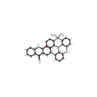 CC1(C)c2ccccc2N2c3c(cccc3-c3ccc4oc5ccccc5c(=O)c4c3)Oc3cccc1c32